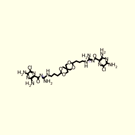 N/C(=N\C(=O)c1nc(Cl)c(N)nc1N)NCCCC1OCC2(CO1)COC(CCCN/C(N)=N/C(=O)c1nc(Cl)c(N)nc1N)OC2